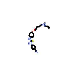 C=CCN(C)CCCCOC1CCC(N(C)C(=S)Nc2ccc(C#N)cc2)CC1